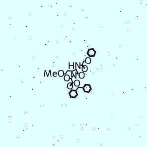 COC1CC2C(NC(=O)COc3ccccc3)C(=O)N2C(C(=O)OC(c2ccccc2)c2ccccc2)O1